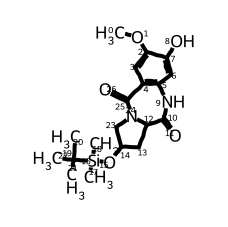 COc1cc2c(cc1O)NC(=O)C1CC(O[Si](C)(C)C(C)(C)C)CN1C2=O